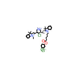 CC[N+]1=C(/C=C/C2=C(Cl)C(C=C=C3N(CCCCCC(=O)Oc4ccccc4)c4ccccc4C3(C)C)C[N+](C)(C)C2)C(C)(C)c2ccccc21.[Cl-].[Cl-]